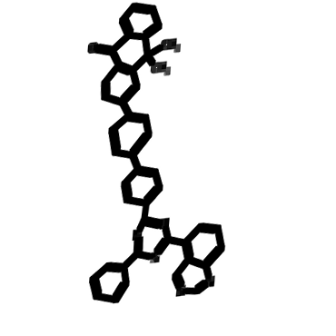 CC1(C)c2ccccc2C(=O)c2ccc(-c3ccc(-c4ccc(-c5nc(-c6ccccc6)nc(-c6cccc7ncncc67)n5)cc4)cc3)cc21